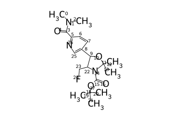 CN(C)C(=O)c1ccc(C2OC(C)(C)N(C(=O)OC(C)(C)C)C2CF)cn1